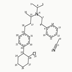 CC#N.CC(C)N(CCc1ccccc1)C(C)CCc1ccc(C2CCCCC2Cl)cc1